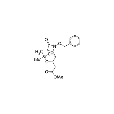 COC(=O)CC(CC1CC(=O)N1OCc1ccccc1)O[Si](C)(C)C(C)(C)C